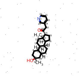 C[C@@]1(O)CC[C@H]2[C@H](CC[C@@H]3[C@@H]2CC[C@]2(C)[C@@H](C(=O)Cc4cccnc4)CC[C@@H]32)C1